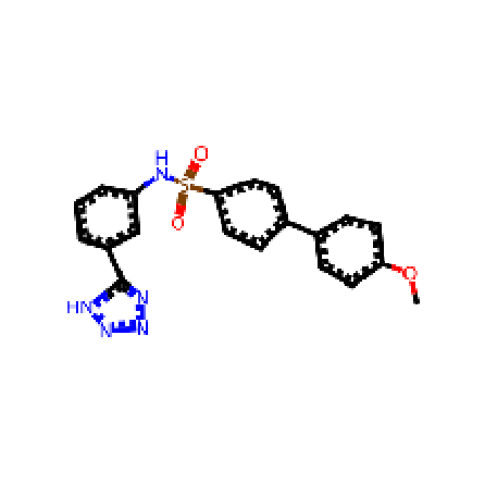 COc1ccc(-c2ccc(S(=O)(=O)Nc3cccc(-c4nnn[nH]4)c3)cc2)cc1